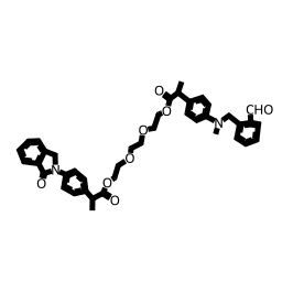 CC(C(=O)OCCOCCOCCOC(=O)C(C)c1ccc(N2Cc3ccccc3C2=O)cc1)c1ccc(N(C)Cc2ccccc2C=O)cc1